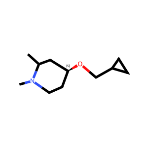 CC1C[C@@H](OCC2CC2)CCN1C